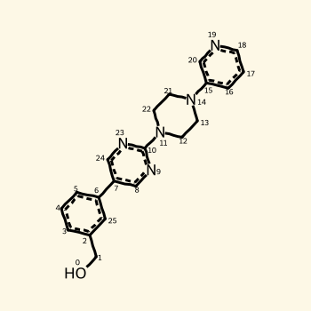 OCc1cccc(-c2cnc(N3CCN(c4cccnc4)CC3)nc2)c1